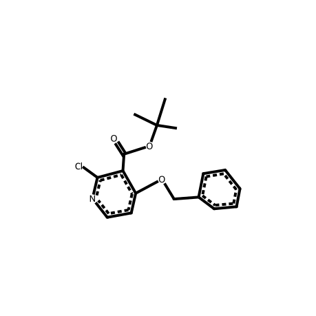 CC(C)(C)OC(=O)c1c(OCc2ccccc2)ccnc1Cl